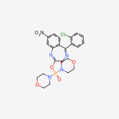 O=[N+]([O-])c1ccc2c(c1)N=C(OP(=O)(N1CCOCC1)N1CCOCC1)CN=C2c1ccccc1Cl